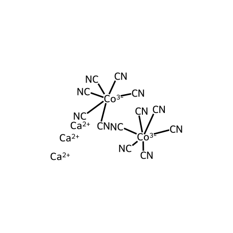 N#[C][Co-3]([C]#N)([C]#N)([C]#N)([C]#N)[C]#N.N#[C][Co-3]([C]#N)([C]#N)([C]#N)([C]#N)[C]#N.[Ca+2].[Ca+2].[Ca+2]